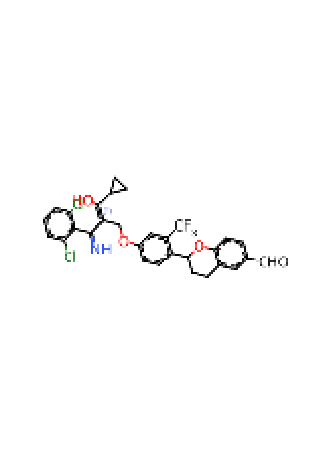 N=C(/C(COc1ccc(C2CCc3cc(C=O)ccc3O2)c(C(F)(F)F)c1)=C(\O)C1CC1)c1c(Cl)cccc1Cl